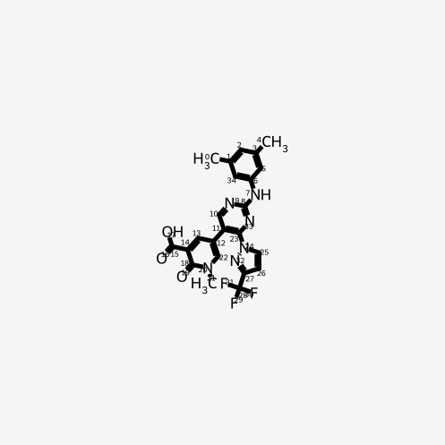 Cc1cc(C)cc(Nc2ncc(-c3cc(C(=O)O)c(=O)n(C)c3)c(-n3ccc(C(F)(F)F)n3)n2)c1